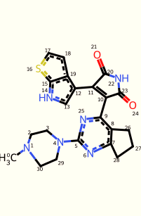 CN1CCN(c2nc3c(c(C4=C(c5c[nH]c6sccc56)C(=O)NC4=O)n2)CCC3)CC1